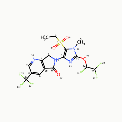 CCS(=O)(=O)c1c(N2Cc3ncc(C(F)(F)F)cc3C2=O)nc(OC(F)C(F)F)n1C